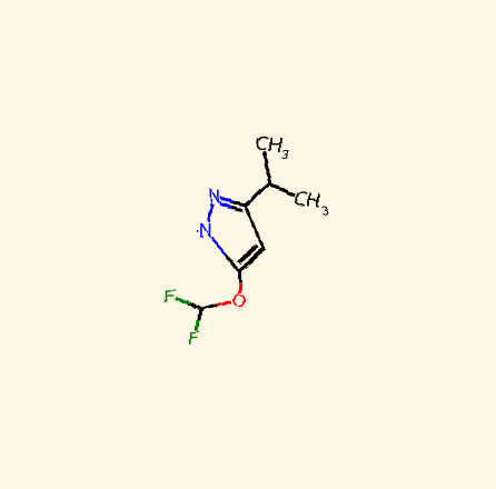 CC(C)C1=N[N]C(OC(F)F)=C1